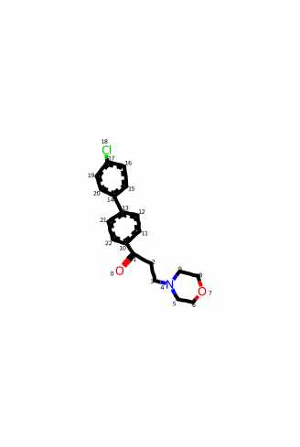 O=C(CCN1CCOCC1)c1ccc(-c2ccc(Cl)cc2)cc1